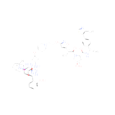 Cc1ncsc1-c1ccc([C@H](C)NC(=O)[C@@H]2C[C@@H](O)CN2C(=O)[C@H](c2cc(OCCN3CCC(OC4CC(Nc5cc(N6C7CC[C@@H]6CN(c6cc(-c8ccccc8O)nnc6N)C7)ccn5)C4)CC3)no2)C(C)C)cc1